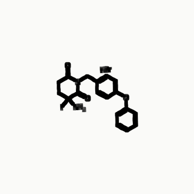 Br.NC1(I)CCC(=O)N(Cc2ccc(Oc3ccccc3)cc2)C1=O